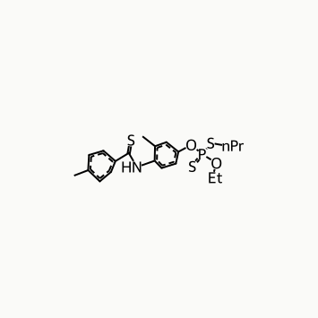 CCCSP(=S)(OCC)Oc1ccc(NC(=S)c2ccc(C)cc2)c(C)c1